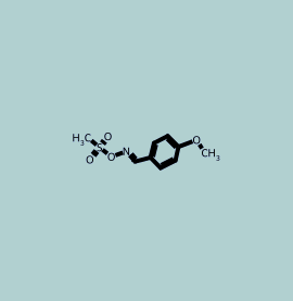 COc1ccc([C]=NOS(C)(=O)=O)cc1